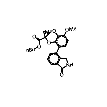 CCCCOC(=O)C1(Oc2c(-c3cccc4c3CNC4=O)ccc(OC)c2OC)CC1